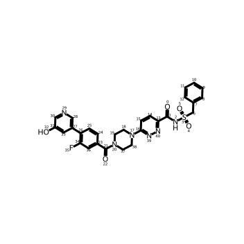 O=C(NS(=O)(=O)Cc1ccccc1)c1ccc(N2CCN(C(=O)c3ccc(-c4cncc(O)c4)c(F)c3)CC2)nn1